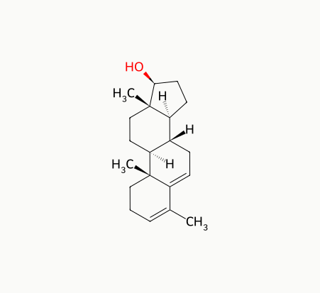 CC1=CCC[C@@]2(C)C1=CC[C@H]1[C@@H]3CC[C@H](O)[C@@]3(C)CC[C@@H]12